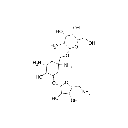 NC[C@H]1O[C@@H](OC2CC(N)(CO[C@H]3OC(CO)[C@@H](O)C(O)C3N)C[C@@H](N)C2O)C(O)C1O